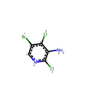 Nc1c(Cl)ncc(Br)c1Cl